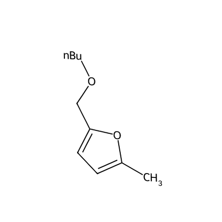 CCCCOCc1ccc(C)o1